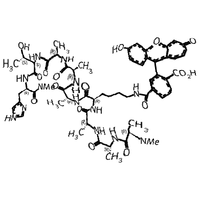 CNC(=O)[C@@H](Cc1c[nH]cn1)NC(=O)[C@H](NC(=O)[C@@H](C)NC(=O)[C@@H](C)NC(=O)[C@@H](C)NC(=O)[C@@H](CCCCNC(=O)c1ccc(C(=O)O)c(-c2c3ccc(=O)cc-3oc3cc(O)ccc23)c1)NC(=O)[C@@H](C)NC(=O)[C@@H](C)NC(=O)[C@@H](C)NC)[C@H](C)O